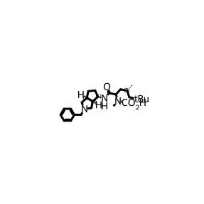 C[C@@H](CC(C(=O)N[C@H]1CC[C@@H]2CN(Cc3ccccc3)C[C@@H]21)N(C)C(=O)O)CC(C)(C)C